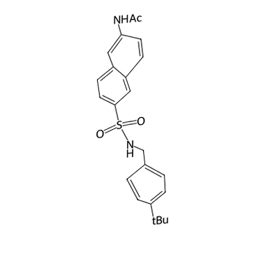 CC(=O)Nc1ccc2cc(S(=O)(=O)NCc3ccc(C(C)(C)C)cc3)ccc2c1